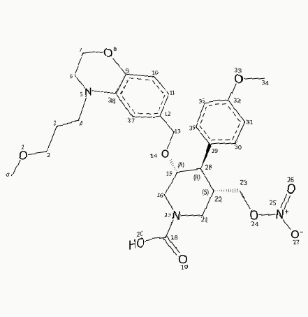 COCCCN1CCOc2ccc(CO[C@H]3CN(C(=O)O)C[C@@H](CO[N+](=O)[O-])[C@@H]3c3ccc(OC)cc3)cc21